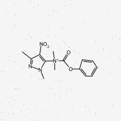 Cc1nn(C)c([N+](C)(C)C(=O)Oc2cc[c]cc2)c1[N+](=O)[O-]